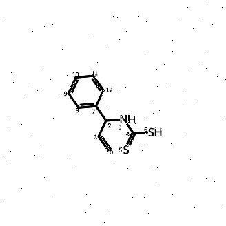 C=CC(NC(=S)S)c1ccccc1